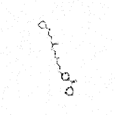 O=C(CCCCC1CCSS1)OCCOCCOc1ccc(C(=O)c2ccccc2)cc1